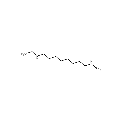 CCNCCCCCCCCNP